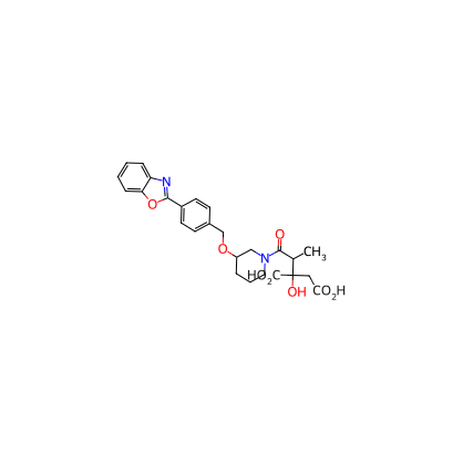 CC(C(=O)N1CCCC(OCc2ccc(-c3nc4ccccc4o3)cc2)C1)C(O)(CC(=O)O)C(=O)O